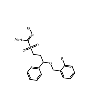 CC/N=C(\NC)S(=O)(=O)CCC(OCc1ccccc1F)c1ccccc1